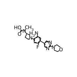 CN(C(=O)O)C1CCN(c2cc(F)c(-c3cnc(N4CCOCC4)nc3)cc2N)C1